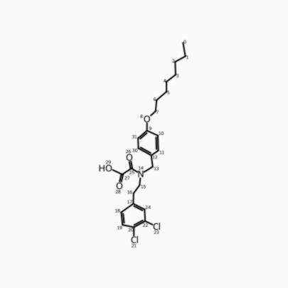 CCCCCCCCOc1ccc(CN(CCc2ccc(Cl)c(Cl)c2)C(=O)C(=O)O)cc1